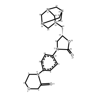 O=C1COCCN1c1ccc(N2C[C@H](C[N+]34CN5CN(CN(C5)C3)C4)OC2=O)cc1